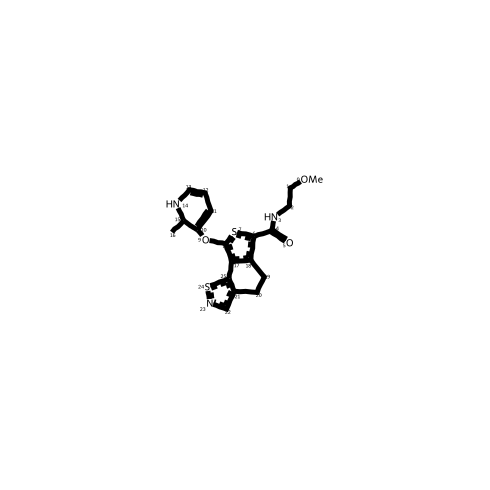 COCCNC(=O)c1sc(OC2=CC=CNC2C)c2c1CCc1cnsc1-2